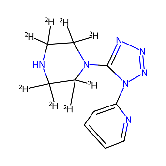 [2H]C1([2H])NC([2H])([2H])C([2H])([2H])N(c2nnnn2-c2ccccn2)C1([2H])[2H]